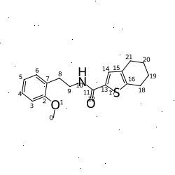 COc1ccccc1CCNC(=O)c1cc2c(s1)CCCC2